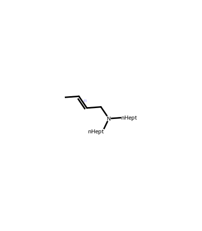 C/C=C/CN(CCCCCCC)CCCCCCC